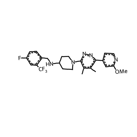 COc1cc(-c2nnc(N3CCC(NCc4ccc(F)cc4C(F)(F)F)CC3)c(C)c2C)ccn1